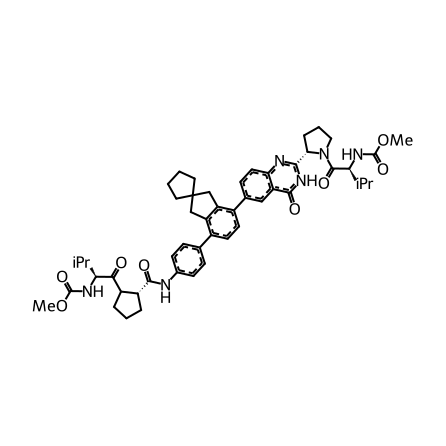 COC(=O)N[C@H](C(=O)C1CCC[C@H]1C(=O)Nc1ccc(-c2ccc(-c3ccc4nc([C@@H]5CCCN5C(=O)[C@@H](NC(=O)OC)C(C)C)[nH]c(=O)c4c3)c3c2CC2(CCCC2)C3)cc1)C(C)C